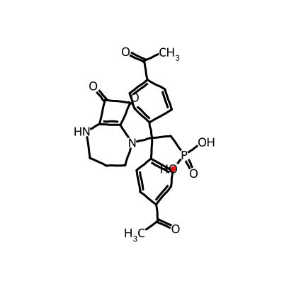 CC(=O)c1ccc(C(CP(=O)(O)O)(c2ccc(C(C)=O)cc2)N2CCCNc3c2c(=O)c3=O)cc1